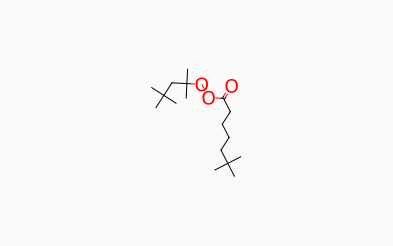 CC(C)(C)CCCCC(=O)OOC(C)(C)CC(C)(C)C